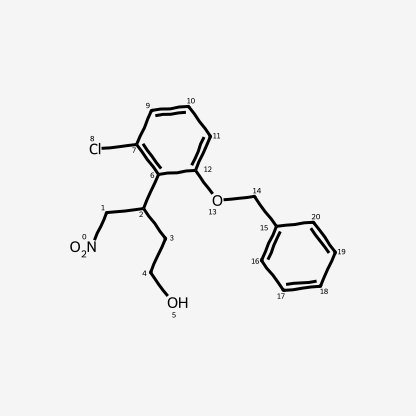 O=[N+]([O-])CC(CCO)c1c(Cl)cccc1OCc1ccccc1